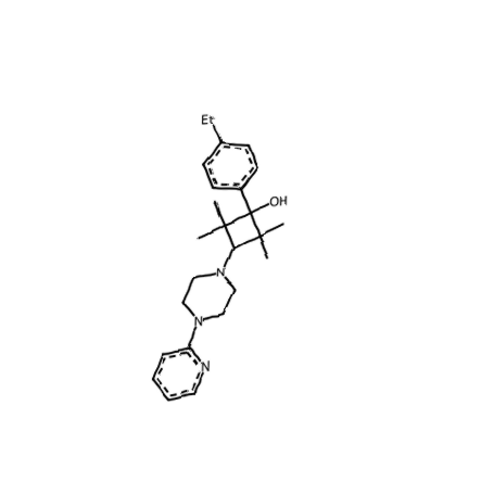 CCc1ccc(C2(O)C(C)(C)C(N3CCN(c4ccccn4)CC3)C2(C)C)cc1